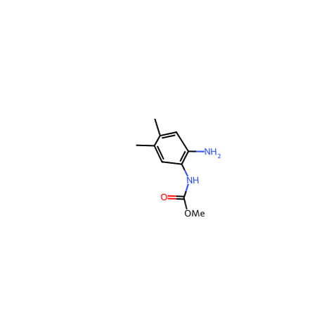 COC(=O)Nc1cc(C)c(C)cc1N